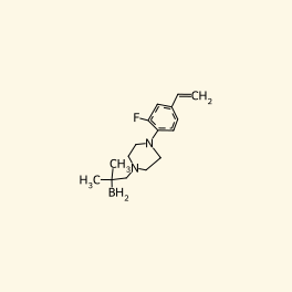 BC(C)(C)CN1CCN(c2ccc(C=C)cc2F)CC1